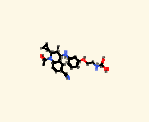 CC(=O)N1c2ccc(C#N)cc2[C@H](Nc2cccc(OCCNC(=O)O)c2)[C@@H](C)[C@@H]1C1CC1